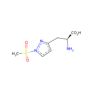 CS(=O)(=O)n1ccc(C[C@H](N)C(=O)O)n1